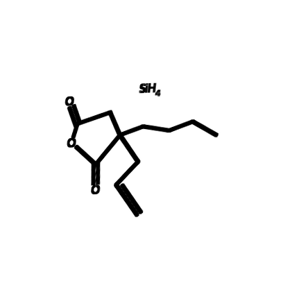 C=CCC1(CCCC)CC(=O)OC1=O.[SiH4]